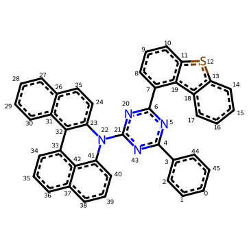 c1ccc(-c2nc(-c3cccc4sc5ccccc5c34)nc(N3c4ccc5ccccc5c4-c4cccc5cccc3c45)n2)cc1